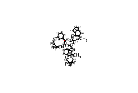 CC1CC2(C(=O)OCC3(COC(=O)C45CCCC(C4)C4(OCC(F)(F)C(F)(F)CO4)C(C)C5)COC4(OC3)C(C)CC3CCCC4C3)CCCC(C2)OCC(F)(F)C(F)(F)CO1